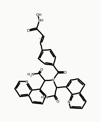 NC(=O)C(c1cccc2cccnc12)N(C(=O)c1ccc(/C=C/C(=O)NO)cc1)C(C(N)=O)c1cccc2cccnc12